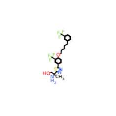 C[C@](N)(CO)c1nnc(-c2ccc(OCCCCCc3cccc(C(F)(F)F)c3)c(C(F)(F)F)c2)s1